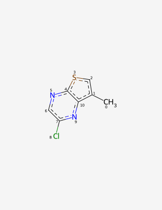 Cc1csc2ncc(Cl)nc12